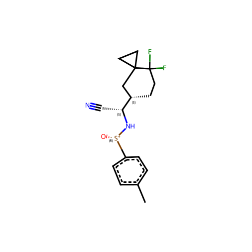 Cc1ccc([S@+]([O-])N[C@H](C#N)[C@H]2CCC(F)(F)C3(CC3)C2)cc1